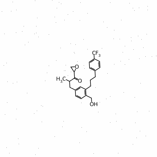 CC(Cc1ccc(CO)c(CCCc2ccc(C(F)(F)F)cc2)c1)C(=O)C1CO1